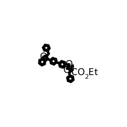 CCOC(=O)C(Cc1ccccc1)N(C)S(=O)(=O)c1ccc(-c2ccc(-c3c(Cc4ccccc4)oc4ccccc34)cc2)cc1